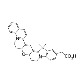 CC1(C)C2=C3C=C4c5ccc6ccccc6[n+]5CCC4OC3CCN2c2ccc(CC(=O)O)cc21